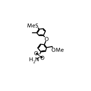 COCc1cc(S(N)(=O)=O)ccc1Oc1ccc(SC)c(C)c1